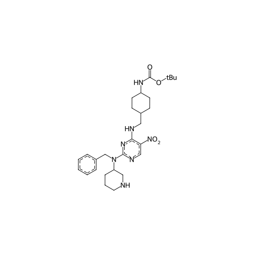 CC(C)(C)OC(=O)NC1CCC(CNc2nc(N(Cc3ccccc3)C3CCCNC3)ncc2[N+](=O)[O-])CC1